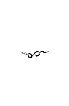 O=CN1CC[C@H](N2CCN(CCO)CC2)C1